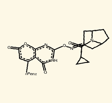 CCCCCc1cc(=O)oc2nc(ON=C3CC4CCC(C3)N4C(=O)C3CC3)[nH]c(=O)c12